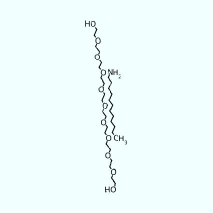 CCCCCCCCCCCCN.OCCOCCOCCOCCOCCOCCOCCOCCOCCOCCO